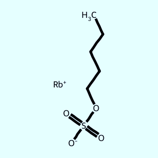 CCCCCOS(=O)(=O)[O-].[Rb+]